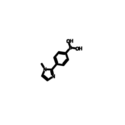 Cn1ccnc1-c1ccc(B(O)O)cc1